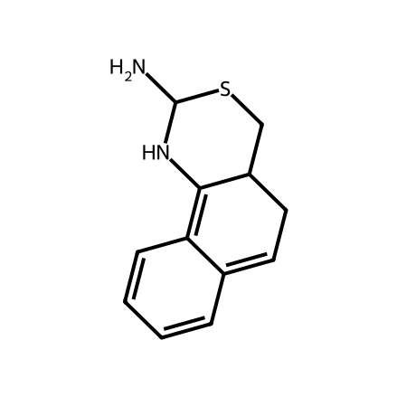 NC1NC2=c3ccccc3=CCC2CS1